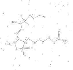 CCCCC(C)(C)C(O)/C=C/C1C(O)CS(=O)(=O)C1CCCCCCC(=O)O